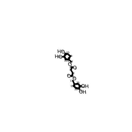 O=C(CCC(=O)OCc1ccc(O)c(O)c1)OCc1ccc(O)c(O)c1